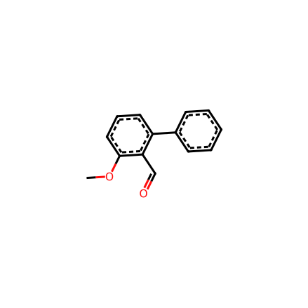 COc1cccc(-c2ccccc2)c1C=O